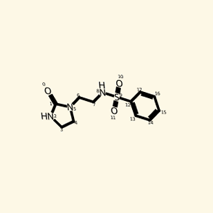 O=C1NCCN1CCNS(=O)(=O)c1ccccc1